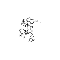 [2H]C([2H])(F)Oc1c(F)ccc2cc(N)cc(-c3ncc4c(N5CCOC[C@H]6[C@H](F)[C@H]65)nc(OC[C@@]56CCCN5C[C@H](C)C6)nc4c3F)c12